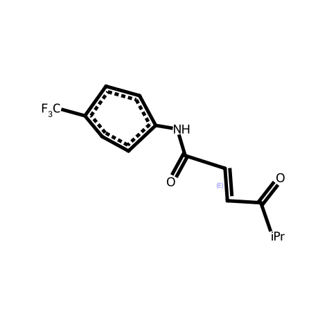 CC(C)C(=O)/C=C/C(=O)Nc1ccc(C(F)(F)F)cc1